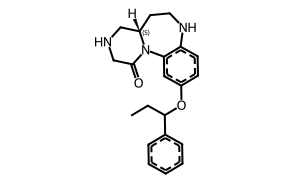 CCC(Oc1ccc2c(c1)N1C(=O)CNC[C@@H]1CCN2)c1ccccc1